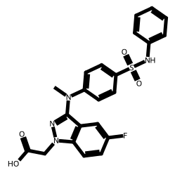 CN(c1ccc(S(=O)(=O)Nc2ccccc2)cc1)c1nn(CC(=O)O)c2ccc(F)cc12